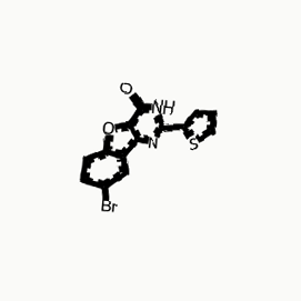 O=c1[nH]c(-c2cccs2)nc2c1oc1ccc(Br)cc12